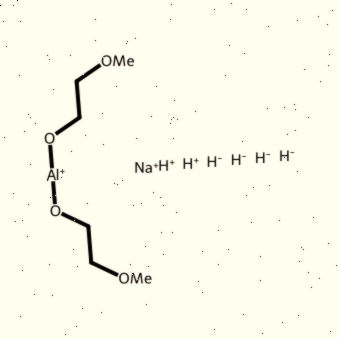 COCC[O][Al+][O]CCOC.[H+].[H+].[H-].[H-].[H-].[H-].[Na+]